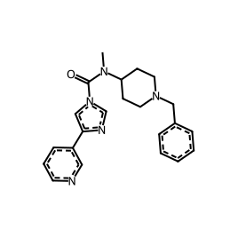 CN(C(=O)n1cnc(-c2cccnc2)c1)C1CCN(Cc2ccccc2)CC1